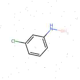 BNc1cccc(Cl)c1